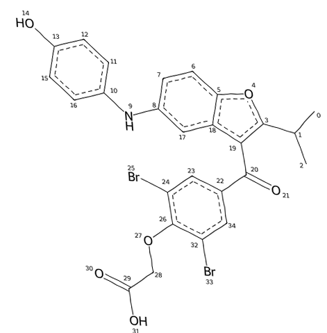 CC(C)c1oc2ccc(Nc3ccc(O)cc3)cc2c1C(=O)c1cc(Br)c(OCC(=O)O)c(Br)c1